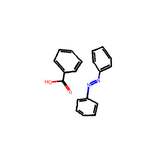 O=C(O)c1ccccc1.c1ccc(/N=N/c2ccccc2)cc1